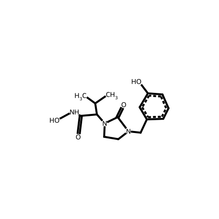 CC(C)C(C(=O)NO)N1CCN(Cc2cccc(O)c2)C1=O